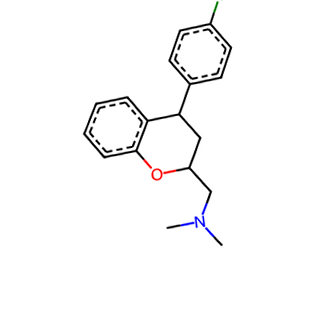 CN(C)CC1CC(c2ccc(Cl)cc2)c2ccccc2O1